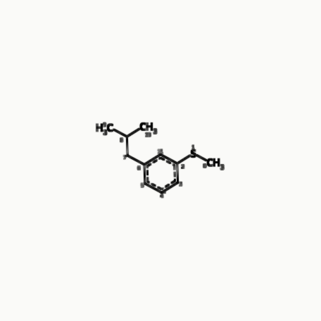 CSc1c[c]cc(CC(C)C)c1